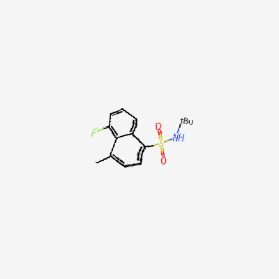 Cc1ccc(S(=O)(=O)NC(C)(C)C)c2cccc(F)c12